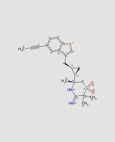 CC#Cc1ccc2scc(C[C@H]3C[C@H]3[C@]3(C)CS(=O)(=O)C(C)(C)C(=N)N3)c2c1